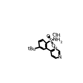 CC(C)(C)c1ccc(S(N)(=O)=O)c(-c2ccncn2)c1.Cl